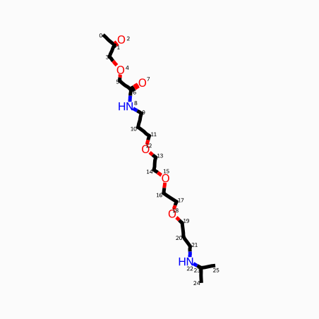 CC(=O)COCC(=O)NCCCOCCOCCOCCCNC(C)C